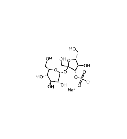 O=S(=O)([O-])O[C@H]1[C@H](O)[C@@H](CO)O[C@@]1(CO)O[C@H]1O[C@H](CO)[C@@H](O)[C@H](O)[C@H]1O.[Na+]